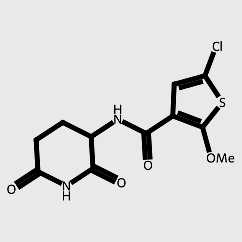 COc1sc(Cl)cc1C(=O)NC1CCC(=O)NC1=O